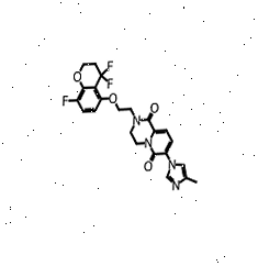 Cc1cn(-c2ccc3n(c2=O)CCN(CCOc2ccc(F)c4c2C(F)(F)CCO4)C3=O)cn1